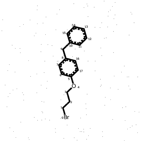 BrCCCOc1ccc(Cc2ccccc2)cc1